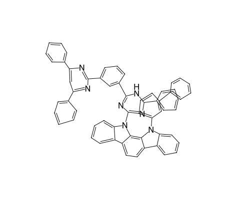 c1ccc(-c2cccc(-n3c4ccccc4c4ccc5c6ccccc6n(C6=NC(c7ccccc7)NC(c7cccc(-c8nc(-c9ccccc9)cc(-c9ccccc9)n8)c7)=N6)c5c43)c2)cc1